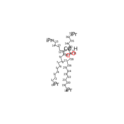 CC(C)CCCCCCCCCCC(CCCCC(C)C)C(=O)O.CC(C)CCCCCCCCCCOC(=O)CCCCCC(C)C